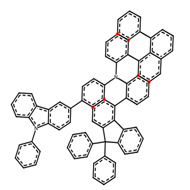 c1ccc(-c2cccc3cccc(-c4ccccc4N(c4ccc(-c5ccc6c(c5)c5ccccc5n6-c5ccccc5)cc4)c4ccccc4-c4cccc5c4-c4ccccc4C5(c4ccccc4)c4ccccc4)c23)cc1